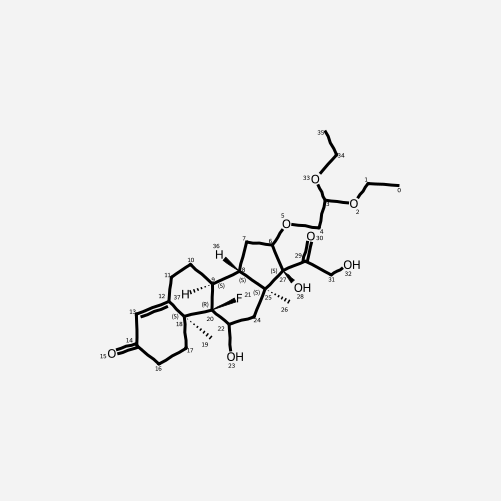 CCOC(COC1C[C@H]2[C@@H]3CCC4=CC(=O)CC[C@]4(C)[C@@]3(F)C(O)C[C@]2(C)[C@@]1(O)C(=O)CO)OCC